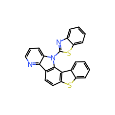 c1ccc2sc(-n3c4cccnc4c4ccc5sc6ccccc6c5c43)nc2c1